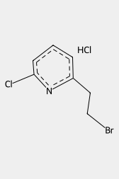 Cl.Clc1cccc(CCBr)n1